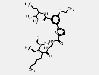 CCCCCC(C(=O)NCNC(=O)c1ccc(-c2cc(OCC)cc(C(=O)NC(CCC)C(C)C)c2)o1)[C@@H](CC)N(O)C=O